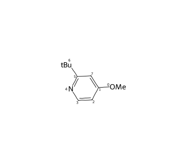 COc1ccnc(C(C)(C)C)c1